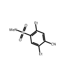 CCc1cc(S(=O)(=O)NC)c(CC)cc1C#N